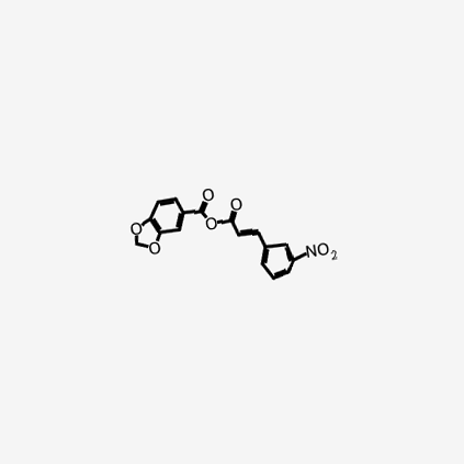 O=C(/C=C/c1cccc([N+](=O)[O-])c1)OC(=O)c1ccc2c(c1)OCO2